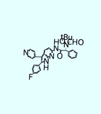 CC(C)(C)ON(C=O)[C@@H](C(=O)Nc1ccc2c(-c3ccncc3)c(-c3ccc(F)cc3)[nH]c2n1)c1ccccc1